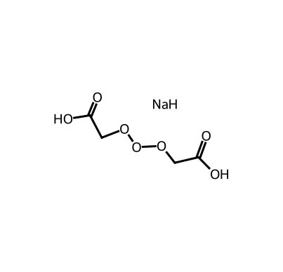 O=C(O)COOOCC(=O)O.[NaH]